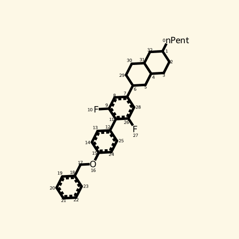 CCCCCC1CCC2CC(c3cc(F)c(-c4ccc(OCc5ccccc5)cc4)c(F)c3)CCC2C1